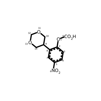 O=C(O)Oc1ccc([N+](=O)[O-])cc1C1COCOC1